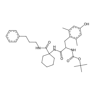 Cc1cc(O)cc(C)c1CC(NC(=O)OC(C)(C)C)C(=O)NC1(C(=O)NCCCc2ccccc2)CCCCC1